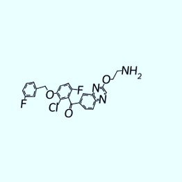 NCCOc1cnc2ccc(C(=O)c3c(F)ccc(OCc4cccc(F)c4)c3Cl)cc2n1